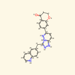 O=C1CCOc2cc(-c3ccc4nnc(Cc5ccc6ncccc6c5)n4n3)ccc21